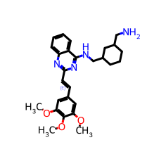 COc1cc(/C=C/c2nc(NCC3CCCC(CN)C3)c3ccccc3n2)cc(OC)c1OC